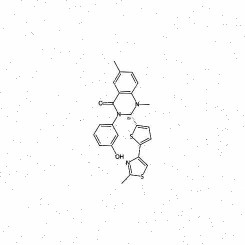 Cc1ccc2c(c1)C(=O)N(c1cccc(O)c1)[C@@H](c1ccc(-c3csc(C)n3)s1)N2C